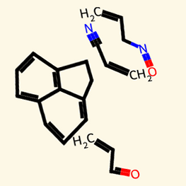 C=CC#N.C=CC=O.C=CCN=O.c1cc2c3c(cccc3c1)CC2